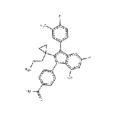 COCC1(c2c(-c3ccc(C(=O)O)cc3)c3c(O)cc(F)cc3n2-c2ccc(F)c(C)c2)CC1